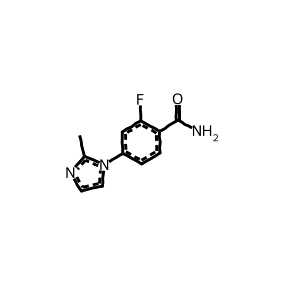 Cc1nccn1-c1ccc(C(N)=O)c(F)c1